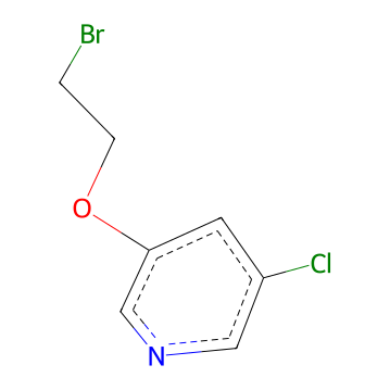 Clc1cncc(OCCBr)c1